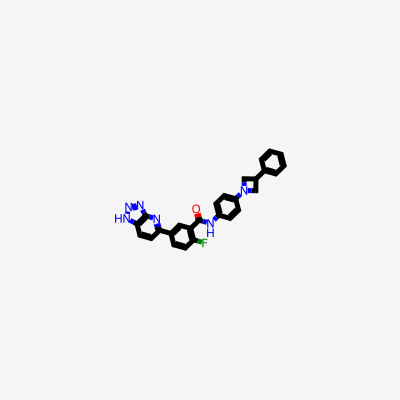 O=C(Nc1ccc(N2CC(c3ccccc3)C2)cc1)c1cc(-c2ccc3[nH]nnc3n2)ccc1F